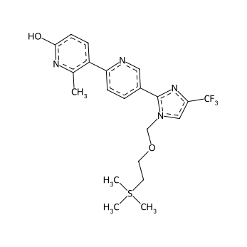 Cc1nc(O)ccc1-c1ccc(-c2nc(C(F)(F)F)cn2COCCS(C)(C)C)cn1